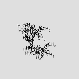 C=CC(=O)OCC(COC(=O)C=C)(COC(=O)C=C)COC(=O)NCC1CC(C)(C)CC(C)(NC(=O)OCC(F)(F)OC(F)(F)C(F)(F)OC(F)(F)COC(=O)NC2(C)CC(CNC(=O)OCC(COC(=O)C=C)(COC(=O)C=C)COC(=O)C=C)CC(C)(C)C2)C1